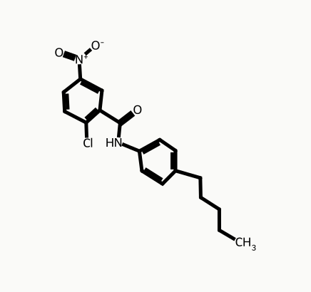 CCCCCc1ccc(NC(=O)c2cc([N+](=O)[O-])ccc2Cl)cc1